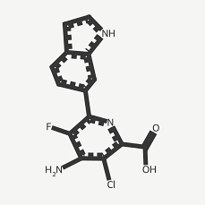 Nc1c(F)c(-c2ccc3cc[nH]c3c2)nc(C(=O)O)c1Cl